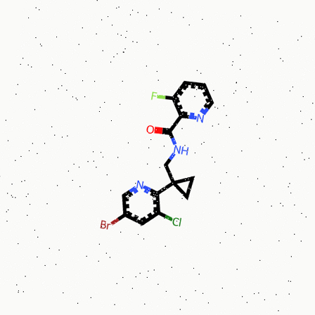 O=C(NCC1(c2ncc(Br)cc2Cl)CC1)c1ncccc1F